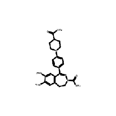 CNC(=O)C1CCN(c2ccc(C3=NN(C(=O)NC)CCc4cc(OC)c(OC)cc43)cc2)CC1